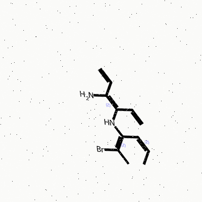 C=C/C(N)=C(\C=C)NC(/C=C\C)=C(/C)Br